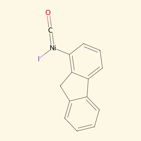 O=[C]=[Ni]([I])[c]1cccc2c1Cc1ccccc1-2